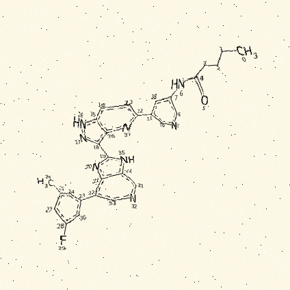 CCCCC(=O)Nc1cncc(-c2ccc3[nH]nc(-c4nc5c(-c6cc(C)cc(F)c6)cncc5[nH]4)c3n2)c1